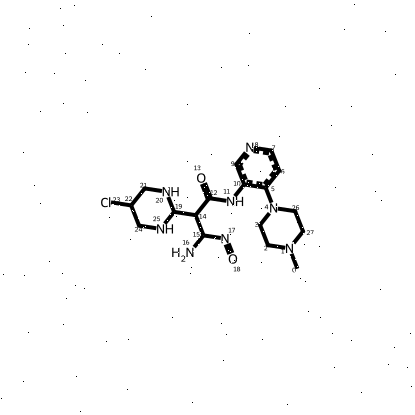 CN1CCN(c2ccncc2NC(=O)C(C(N)N=O)C2NCC(Cl)CN2)CC1